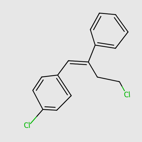 ClCC/C(=C\c1ccc(Cl)cc1)c1ccccc1